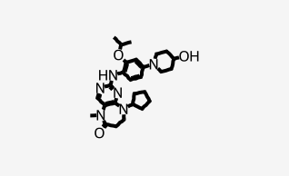 CC(C)Oc1cc(N2CCC(O)CC2)ccc1Nc1ncc2c(n1)N(C1CCCC1)CCC(=O)N2C